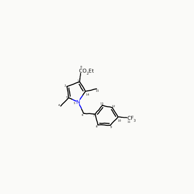 CCOC(=O)c1cc(C)n(Cc2ccc(C(F)(F)F)cc2)c1C